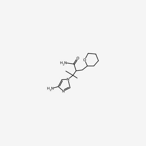 CC(C)(C(CC1CCCCO1)C(N)=O)n1cnc(N)c1